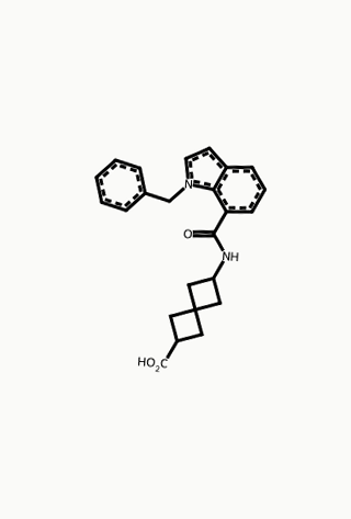 O=C(NC1CC2(C1)CC(C(=O)O)C2)c1cccc2ccn(Cc3ccccc3)c12